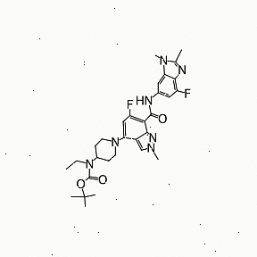 CCN(C(=O)OC(C)(C)C)C1CCN(c2cc(F)c(C(=O)Nc3cc(F)c4nc(C)n(C)c4c3)c3nn(C)cc23)CC1